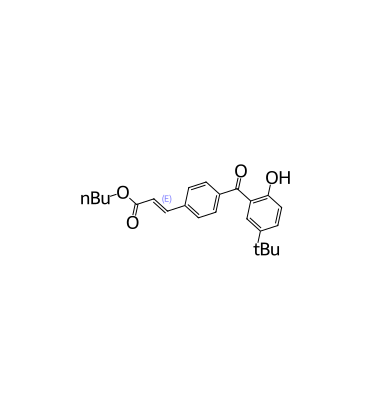 CCCCOC(=O)/C=C/c1ccc(C(=O)c2cc(C(C)(C)C)ccc2O)cc1